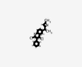 CC1=NC(C(C)c2ccc3nc(Cl)c(-c4ccccc4)c(Cl)c3c2)=C1